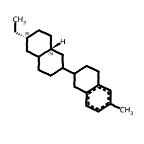 CC[C@@H]1CC[C@@H]2CC(C3CCc4cc(C)ccc4C3)CCC2C1